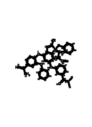 CCC1=Nc2c(Oc3ccc(C(=N)N)cc3Oc3ccccc3)nc(Oc3cccc(C(=O)N(C)C)c3)nc2[N+]1(Cc1ccccc1)C(CC)C(=O)OC